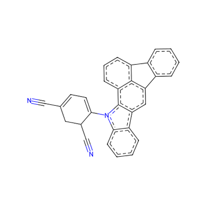 N#CC1=CC=C(n2c3ccccc3c3cc4c5c(cccc5c32)-c2ccccc2-4)C(C#N)C1